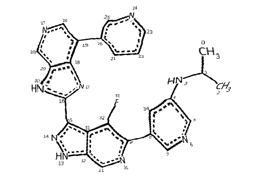 CC(C)Nc1cncc(-c2ncc3[nH]nc(-c4nc5c(-c6cccnc6)cncc5[nH]4)c3c2F)c1